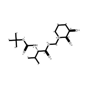 CC(C)[C@H](NC(=O)OC(C)(C)C)C(=O)OCN1CCCC(=O)C1=O